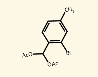 CC(=O)OC(OC(C)=O)c1ccc(C)cc1Br